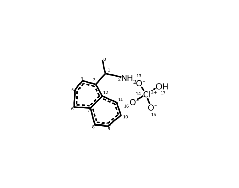 CC(N)c1cccc2ccccc12.[O-][Cl+3]([O-])([O-])O